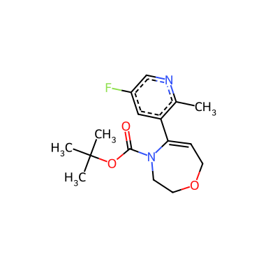 Cc1ncc(F)cc1C1=CCOCCN1C(=O)OC(C)(C)C